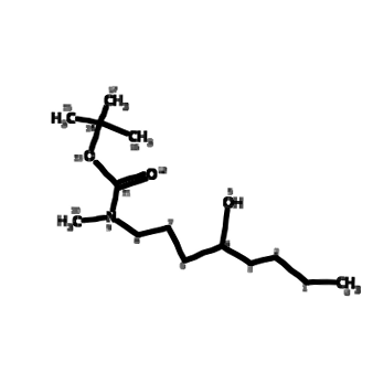 CCCCC(O)CCCN(C)C(=O)OC(C)(C)C